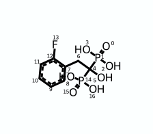 O=P(O)(O)C(O)(Cc1ccccc1F)P(=O)(O)O